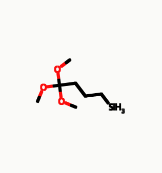 COC(CCC[SiH3])(OC)OC